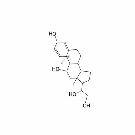 CC12CC(O)C3C(CCC4=CC(O)C=C[C@@]43C)C1CCC2C(O)CO